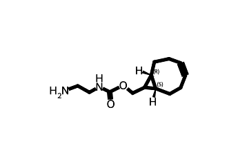 NCCNC(=O)OCC1[C@H]2CCC#CCC[C@@H]12